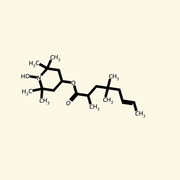 C/C=C/CC(C)(C)CC(C)C(=O)OC1CC(C)(C)N(O)C(C)(C)C1